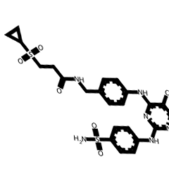 Cc1cnc(Nc2ccc(S(N)(=O)=O)cc2)nc1Nc1ccc(CNC(=O)CCS(=O)(=O)C2CC2)cc1